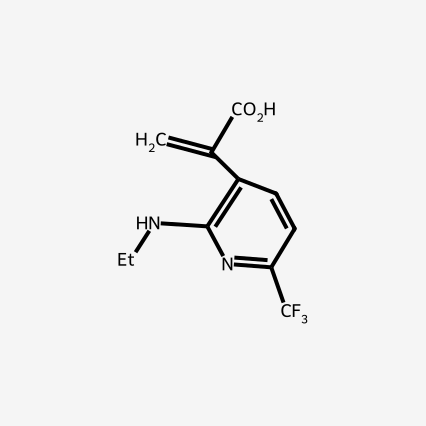 C=C(C(=O)O)c1ccc(C(F)(F)F)nc1NCC